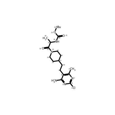 Cc1nc(Cl)nc(N)c1CCC1CCN(C(=O)C(C)NC(=O)OC(C)(C)C)CC1